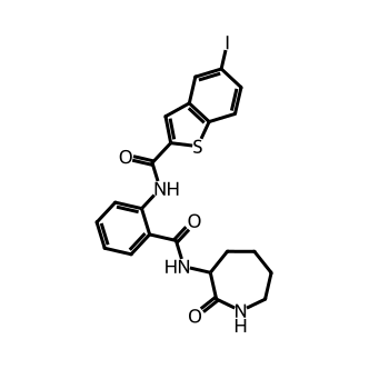 O=C(Nc1ccccc1C(=O)NC1CCCCNC1=O)c1cc2cc(I)ccc2s1